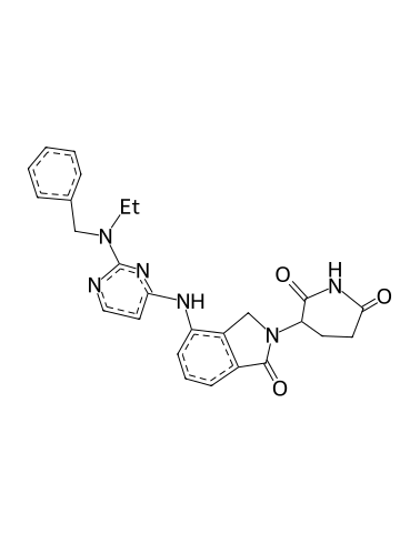 CCN(Cc1ccccc1)c1nccc(Nc2cccc3c2CN(C2CCC(=O)NC2=O)C3=O)n1